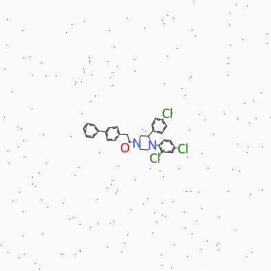 O=C(Cc1ccc(-c2ccccc2)cc1)N1CCN(c2ccc(Cl)cc2Cl)C(c2ccc(Cl)cc2)C1